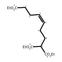 CCOC(=O)CC/C=C\CCC(C(=O)OCC)C(=O)OCC